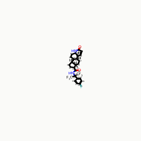 C[C@]12C=CC(=O)NC1CC[C@@H]1[C@H]2CC[C@]2(C)C(C(=O)NC(c3ccc(F)cc3)(C(F)(F)F)C(F)(F)F)CC[C@@H]12